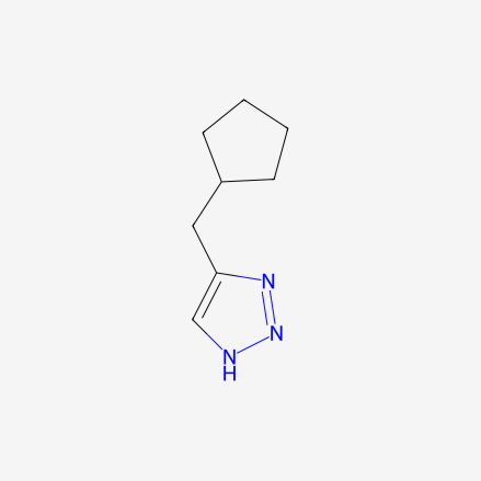 c1[nH]nnc1CC1CCCC1